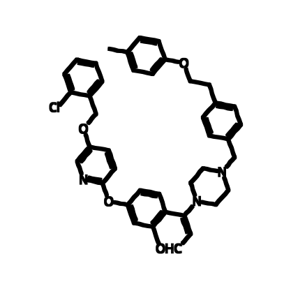 Cc1ccc(OCCc2ccc(CN3CCN(/C(=C/C=O)c4ccc(Oc5ccc(OCc6ccccc6Cl)cn5)cc4C)CC3)cc2)cc1